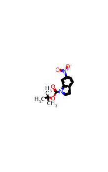 CC(C)(C)OC(=O)n1ccc2ccc([N+](=O)[O-])cc21